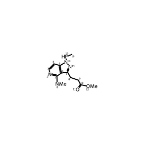 CNc1nccc2c1c(CCC(=O)OC)nn2PC